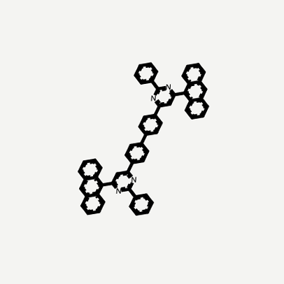 c1ccc(-c2nc(-c3ccc(-c4ccc(-c5cc(-c6c7ccccc7cc7ccccc67)nc(-c6ccccc6)n5)cc4)cc3)cc(-c3c4ccccc4cc4ccccc34)n2)cc1